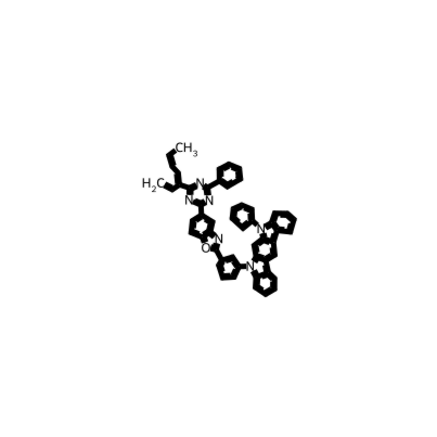 C=C/C(=C\C=C/C)c1nc(-c2ccccc2)nc(-c2ccc3oc(-c4cccc(-n5c6ccccc6c6cc7c8ccccc8n(-c8ccccc8)c7cc65)c4)nc3c2)n1